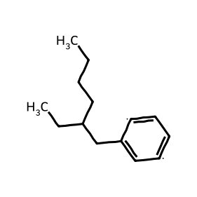 CCCCC(CC)Cc1[c]cc[c]c1